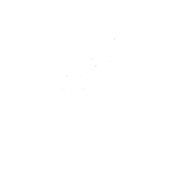 COc1ccc(-c2nsc(S(=O)(=O)c3ccc(C)cc3)n2)cc1